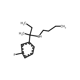 CCCCBC(C)(CC)c1cccc(F)c1